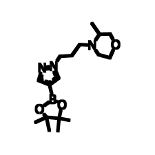 CC1COCCN1CCCn1cc(B2OC(C)(C)C(C)(C)O2)cn1